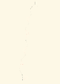 C=CCOCCOCCOCCOCC1CO1